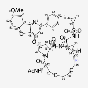 COC1=CC2c3nc(-c4ccc(C)cc4)cc(O[C@@H]4C[C@H]5C(=O)N[C@]6(C(=O)NS(=O)(=O)C7CC7)C[C@H]6/C=C\CCCCC[C@H](NC(C)=O)C(=O)N5C4)c3OC2C=C1